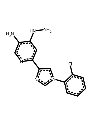 NNc1cc(-c2cn(-c3ccccc3Cl)cn2)ncc1N